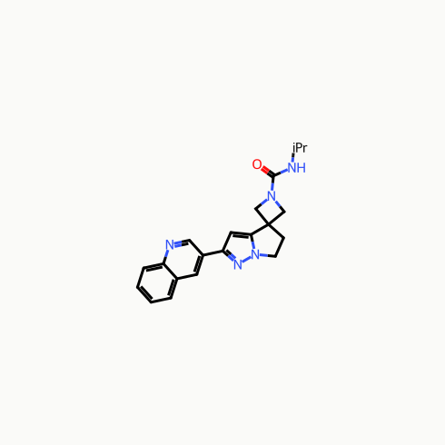 CC(C)NC(=O)N1CC2(CCn3nc(-c4cnc5ccccc5c4)cc32)C1